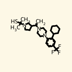 C=C(C1CCN(C(C)(C)S)C1)N1CCN(c2ccc(C(F)(F)F)cc2C2CCCCC2)CC1